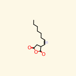 CCCCCC/C=C\C1CC(=O)OC1=O